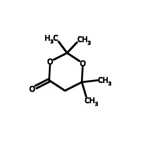 CC1(C)CC(=O)OC(C)(C)O1